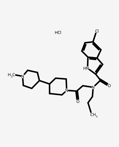 CCCN(CC(=O)N1CCC(C2CCN(C)CC2)CC1)C(=O)c1cc2cc(Cl)ccc2[nH]1.Cl